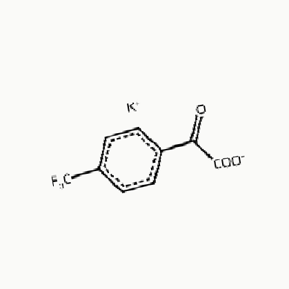 O=C([O-])C(=O)c1ccc(C(F)(F)F)cc1.[K+]